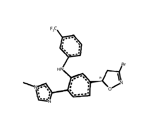 Cn1cnc(-c2ccc([C@H]3CC(Br)=NO3)cc2Nc2cccc(C(F)(F)F)c2)c1